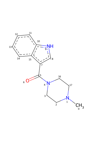 CN1CCN(C(=O)c2[c][nH]c3ccccc23)CC1